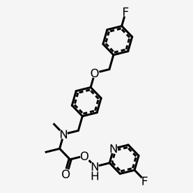 CC(C(=O)ONc1cc(F)ccn1)N(C)Cc1ccc(OCc2ccc(F)cc2)cc1